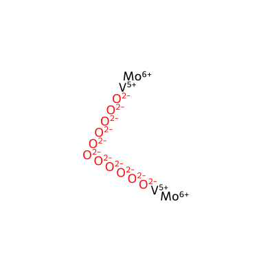 [Mo+6].[Mo+6].[O-2].[O-2].[O-2].[O-2].[O-2].[O-2].[O-2].[O-2].[O-2].[O-2].[O-2].[V+5].[V+5]